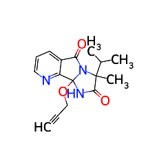 C#CCOC12NC(=O)C(C)(C(C)C)N1C(=O)c1cccnc12